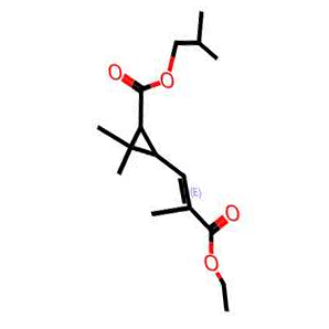 CCOC(=O)/C(C)=C/C1C(C(=O)OCC(C)C)C1(C)C